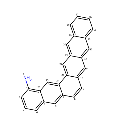 Nc1cccc2cc3ccc4cc5cc6ccccc6cc5cc4c3cc12